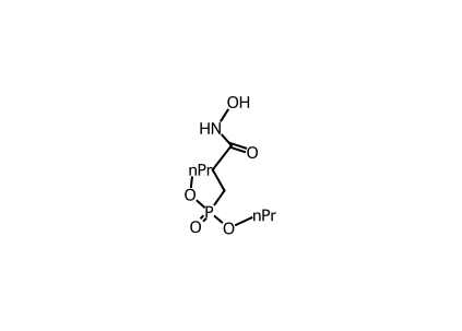 CCCOP(=O)(CCC(=O)NO)OCCC